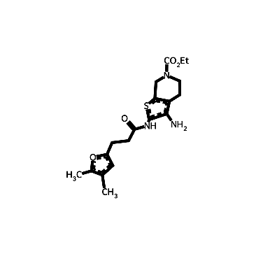 CCOC(=O)N1CCc2c(sc(NC(=O)CCc3cc(C)c(C)o3)c2N)C1